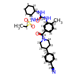 CCS(=O)(=O)N[C@@H]1CCCC[C@H]1NC(=O)Nc1cc(C(=O)N2CCC(c3ccc(C#N)cc3)CC2)ccc1C